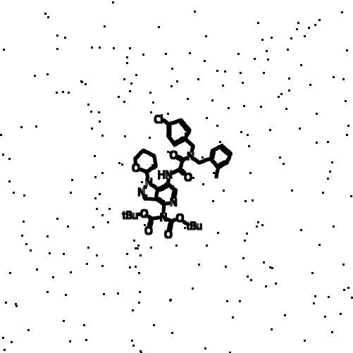 Cc1ccccc1CN(Cc1ccc(Cl)cc1)C(=O)C(=O)Nc1cnc(N(C(=O)OC(C)(C)C)C(=O)OC(C)(C)C)c2cnn(C3CCCCO3)c12